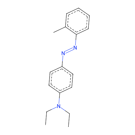 CCN(CC)c1ccc(N=Nc2ccccc2C)cc1